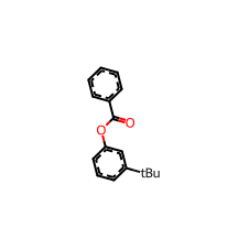 CC(C)(C)c1cccc(OC(=O)c2ccccc2)c1